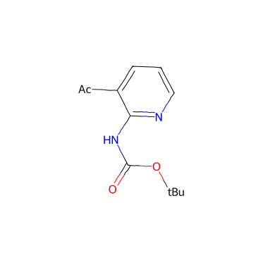 CC(=O)c1cccnc1NC(=O)OC(C)(C)C